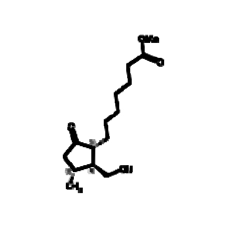 COC(=O)CCCCCC[C@H]1C(=O)C[C@@H](C)[C@@H]1CO